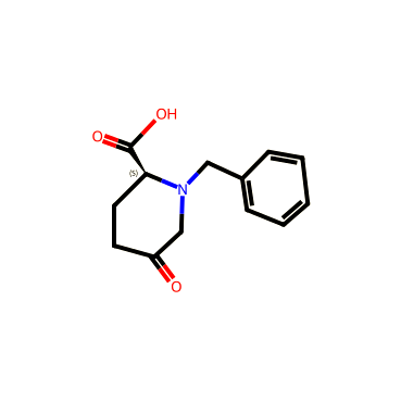 O=C1CC[C@@H](C(=O)O)N(Cc2ccccc2)C1